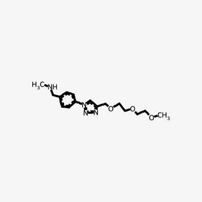 CNCc1ccc(-n2cc(COCCOCCOC)nn2)cc1